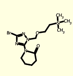 C[Si](C)(C)CCOCn1nc(Br)nc1N1CCCCC1=O